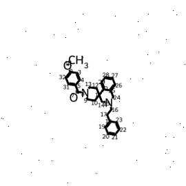 COc1ccc(C(=O)N2CCC3(CC2)CN(CCc2ccccc2)Cc2ccccc23)cc1